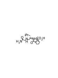 CC(C)C[C@@H](CNCC(N)=O)NC(=O)[C@@H]1CCCN1C(=O)O